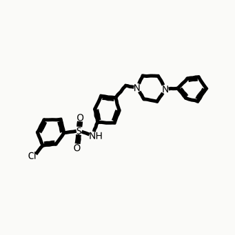 O=S(=O)(Nc1ccc(CN2CCN(c3ccccc3)CC2)cc1)c1cccc(Cl)c1